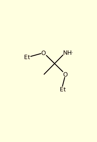 CCOC(C)([NH])OCC